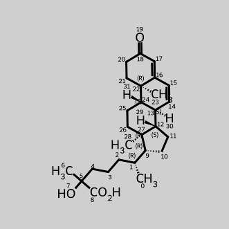 C[C@H](CCCC(C)(O)C(=O)O)[C@H]1CC[C@H]2[C@@H]3C=CC4=CC(=O)CC[C@]4(C)[C@H]3CC[C@]12C